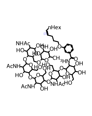 CCCCCC/C=C\CCCOc1cccc(C(=O)NC2C(OC3C(CO)OC(OC4C(CO)OC(OC5C(CO)OC(OC6C(COC7OC(C)C(O)C(O)C7O)OC(O)C(NC(C)=O)C6O)C(NC(C)=O)C5O)C(NC(C)=O)C4O)C(NC(C)=O)C3O)OC(CO)C(O)C2O)c1